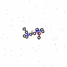 c1ccc(-c2ccc(N(c3ccc4c(c3)sc3cc(N(c5ccccc5)c5ccccc5N(c5ccc(-c6ccccc6)cc5)c5cccc6ccccc56)ccc34)c3cccc4ccccc34)cc2)cc1